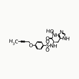 CC#CCOc1ccc(S(=O)(=O)N[C@H](Cc2cnc[nH]2)C(=O)NO)cc1